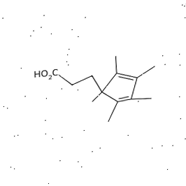 CC1=C(C)C(C)(CCC(=O)O)C(C)=C1C